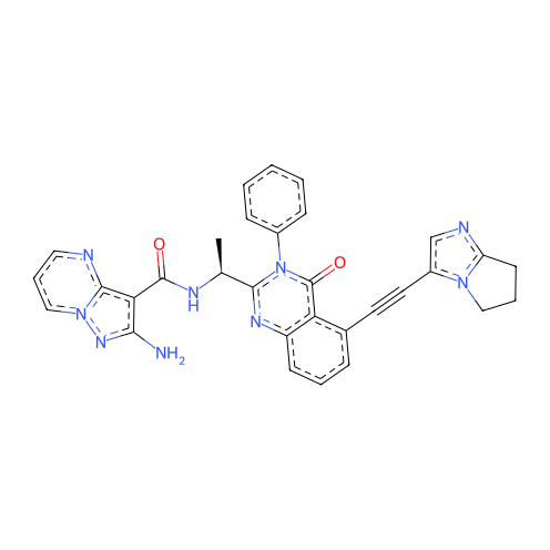 C[C@H](NC(=O)c1c(N)nn2cccnc12)c1nc2cccc(C#Cc3cnc4n3CCC4)c2c(=O)n1-c1ccccc1